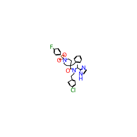 CC(c1ncc[nH]1)N(CCc1ccc(Cl)cc1)C(=O)C1(Cc2ccccc2)CCN(S(=O)(=O)c2ccc(F)cc2)CC1